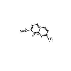 COc1ccc2ccc(C(F)(F)F)cc2n1